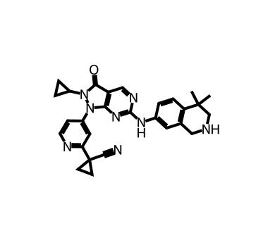 CC1(C)CNCc2cc(Nc3ncc4c(=O)n(C5CC5)n(-c5ccnc(C6(C#N)CC6)c5)c4n3)ccc21